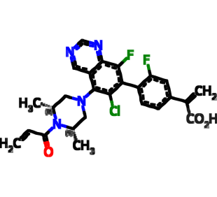 C=CC(=O)N1[C@H](C)CN(c2c(Cl)c(-c3ccc(C(=C)C(=O)O)cc3F)c(F)c3ncncc23)C[C@@H]1C